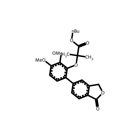 CCCCOC(=O)C(C)(C)Oc1c(-c2ccc3c(c2)COC3=O)ccc(OC)c1OC